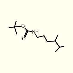 CC(C)C(C)CCCNC(=O)OC(C)(C)C